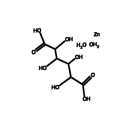 O.O.O=C(O)C(O)C(O)C(O)C(O)C(=O)O.[Zn]